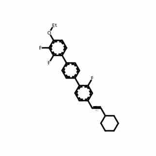 CCOc1ccc(-c2ccc(-c3ccc(/C=C/C4CCCCC4)cc3F)cc2)c(F)c1F